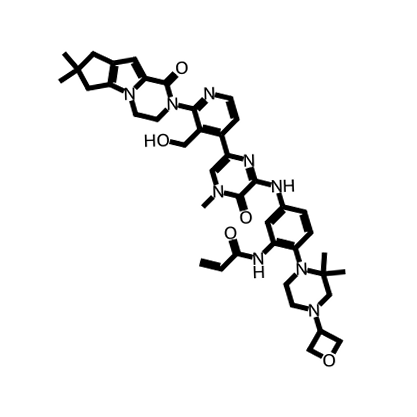 C=CC(=O)Nc1cc(Nc2nc(-c3ccnc(N4CCn5c(cc6c5CC(C)(C)C6)C4=O)c3CO)cn(C)c2=O)ccc1N1CCN(C2COC2)CC1(C)C